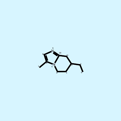 CCC1CCn2c(C)cnc2C1